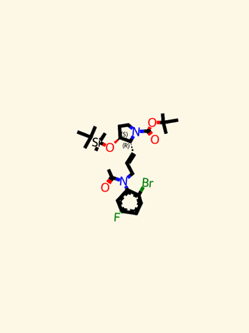 CC(=O)N(CC=C[C@@H]1[C@@H](O[Si](C)(C)C(C)(C)C)CCN1C(=O)OC(C)(C)C)c1cc(F)ccc1Br